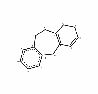 C1=CC2=C(CC1)CCc1ccccc1C2